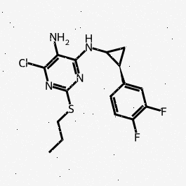 CCCSc1nc(Cl)c(N)c(NC2C[C@H]2c2ccc(F)c(F)c2)n1